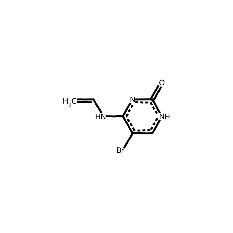 C=CNc1nc(=O)[nH]cc1Br